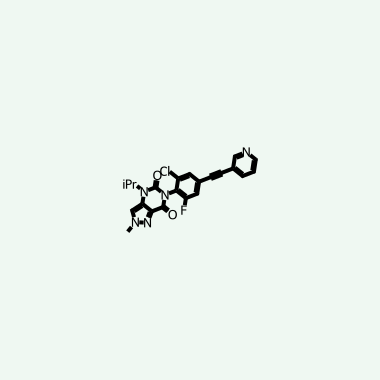 CC(C)n1c(=O)n(-c2c(F)cc(C#Cc3cccnc3)cc2Cl)c(=O)c2nn(C)cc21